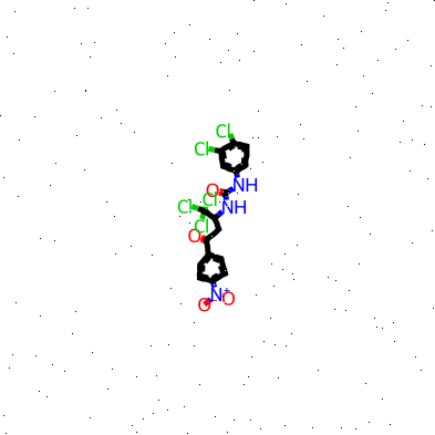 O=C(Nc1ccc(Cl)c(Cl)c1)NC(CC(=O)c1ccc([N+](=O)[O-])cc1)C(Cl)(Cl)Cl